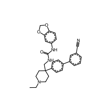 CCN1CCC(CNC(=O)Nc2ccc3c(c2)OCO3)(c2ccc(-c3cccc(C#N)c3)cc2)CC1